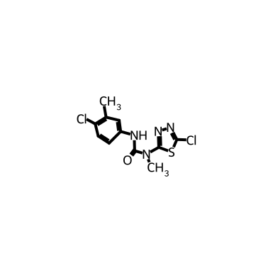 Cc1cc(NC(=O)N(C)c2nnc(Cl)s2)ccc1Cl